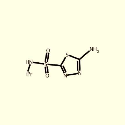 CC(C)NS(=O)(=O)c1nnc(N)s1